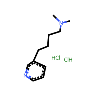 CN(C)CCCCc1cccnc1.Cl.Cl